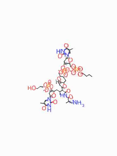 CCCCOP(=O)(OC)OCC1O[C@@H](n2cc(C)c(=O)[nH]c2=O)C[C@H]1OP(=O)(OC)OC1CC2O[C@@H](C(C(=O)NC(=O)/C(C)=C\N)C(C)CC3O[C@@H](n4cc(C)c(=O)[nH]c4=O)C[C@H]3OP(=O)(OC)OCCCO)C[C@H]2OC1C